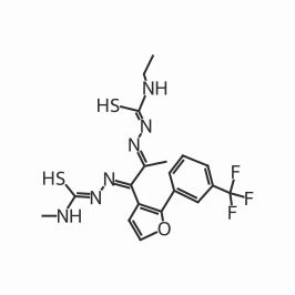 CCN/C(S)=N/N=C(C)/C(=N/N=C(\S)NC)c1ccoc1-c1cccc(C(F)(F)F)c1